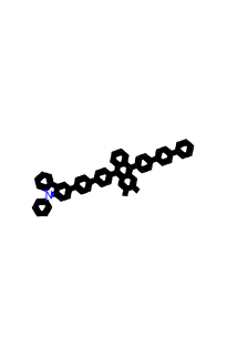 Cc1cc2c(-c3ccc(-c4ccc(-c5ccccc5)cc4)cc3)c3ccccc3c(-c3ccc(-c4ccc(-c5ccc6c(c5)c5ccccc5n6-c5ccccc5)cc4)cc3)c2cc1C